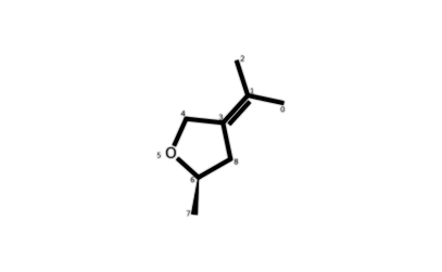 CC(C)=C1CO[C@H](C)C1